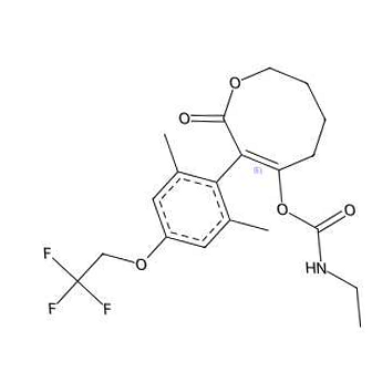 CCNC(=O)O/C1=C(\c2c(C)cc(OCC(F)(F)F)cc2C)C(=O)OCCCC1